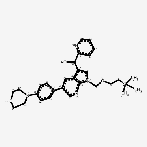 C[Si](C)(C)CCOCn1cc(C(=O)c2ccccn2)c2cc(-c3ccc(N4CCOCC4)cc3)cnc21